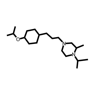 CC(C)OC1CCC(CCCN2CCN(C(C)C)C(C)C2)CC1